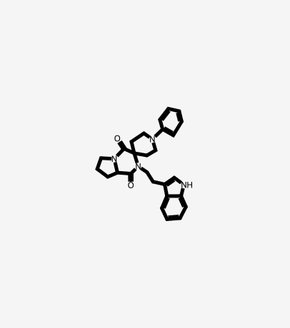 O=C1C2CCCN2C(=O)C2(CCN(c3ccccc3)CC2)N1CCc1c[nH]c2ccccc12